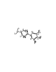 CC(C)c1cnc(-c2cc(F)c(F)c(F)c2)nc1